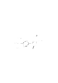 COc1cc(C2=C(O[SiH](C)C)C(C(C)(C)C)CC2=O)cc(OC)c1OC